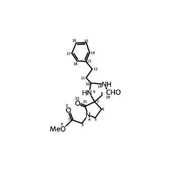 COC(=O)CN1CCC(C)(NC(CCc2ccccc2)NC=O)C1=O